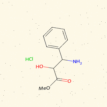 COC(=O)C(O)C(N)c1ccccc1.Cl